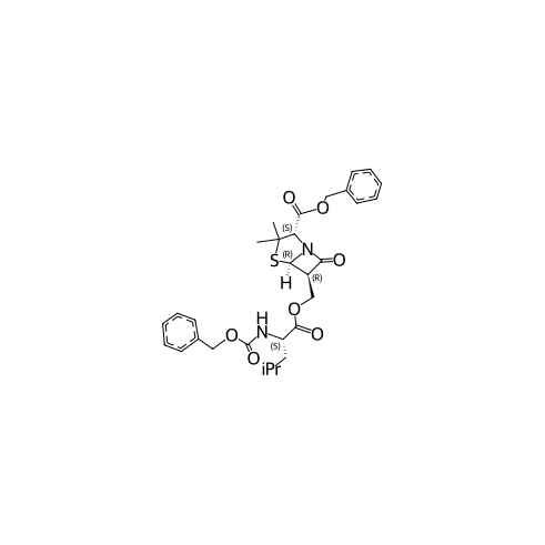 CC(C)C[C@H](NC(=O)OCc1ccccc1)C(=O)OC[C@@H]1C(=O)N2[C@@H]1SC(C)(C)[C@@H]2C(=O)OCc1ccccc1